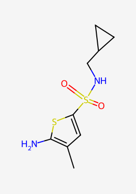 Cc1cc(S(=O)(=O)NCC2CC2)sc1N